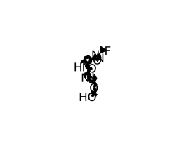 Cc1ccc(-c2nc([C@H]3C[C@@H]3F)no2)cc1NC(=O)c1cnc2cc(COCC(C)(C)O)ccn12